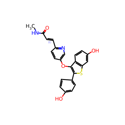 CNC(=O)/C=C/c1ccc(Oc2c(-c3ccc(O)cc3)sc3cc(O)ccc23)cn1